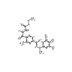 CN(NC(=O)CCC(F)(F)F)C(=O)c1ccc(C(F)=CC(c2cc(Cl)c(Cl)c(Cl)c2)C(F)(F)F)cc1C(F)(F)F